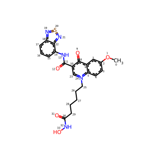 COc1ccc2c(c1)c(=O)c(C(=O)Nc1cccc3nsnc13)cn2CCCCCC(=O)NO